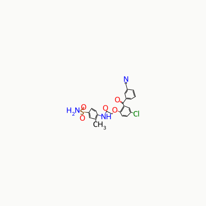 Cc1cc(S(N)(=O)=O)ccc1NC(=O)COc1ccc(Cl)cc1C(=O)c1cccc(C#N)c1